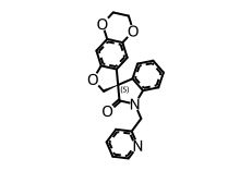 O=C1N(Cc2ccccn2)c2ccccc2[C@]12COc1cc3c(cc12)OCCO3